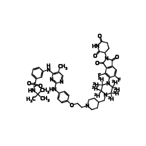 [2H]C1([2H])N(CC2CCN(CCOc3ccc(Nc4ncc(C)c(Nc5cccc(S(=O)(=O)NC(C)(C)C)c5)n4)cc3)CC2)C([2H])([2H])C([2H])([2H])N(c2c(F)cc3c(c2F)C(=O)N(C2CCC(=O)NC2=O)C3=O)C1([2H])[2H]